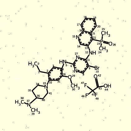 CCc1cc(Nc2ncc(Br)c(Nc3cnc4ccccc4c3P(C)(C)=O)n2)c(OC)cc1N1CCC(N(C)C)CC1.O=C(O)C(F)(F)F